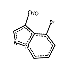 O=Cc1cnn2cccc(Br)c12